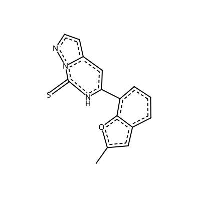 Cc1cc2cccc(-c3cc4ccnn4c(=S)[nH]3)c2o1